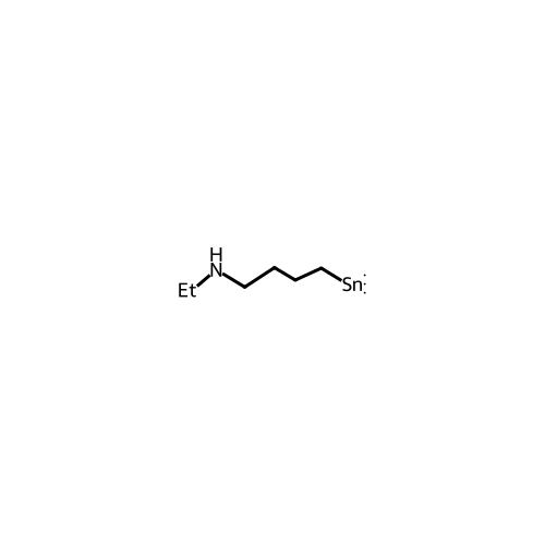 CCNCCC[CH2][Sn]